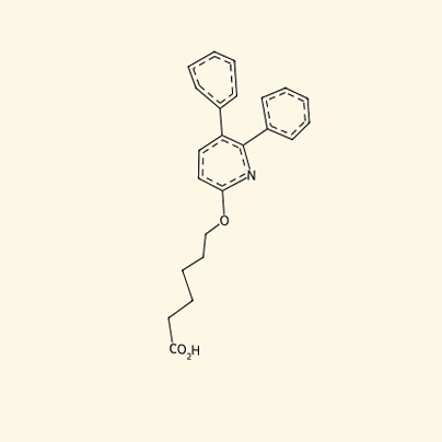 O=C(O)CCCCCOc1ccc(-c2ccccc2)c(-c2ccccc2)n1